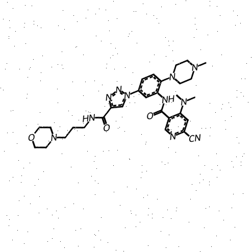 CN1CCN(c2ccc(-n3cc(C(=O)NCCCN4CCOCC4)nn3)cc2NC(=O)c2cnc(C#N)cc2N(C)C)CC1